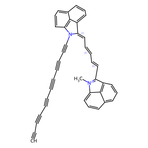 C#CC#CC#CC#CC#CC#Cn1\c(=C/C=C/C=C/C2=[N+](C)c3cccc4cccc2c34)c2cccc3cccc1c32